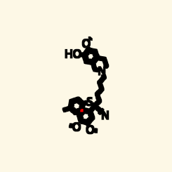 COc1cc2c(cc1O)CN(CCCCCC(C#N)(Sc1ccc(C)cc1)c1ccc(OC)c(OC)c1)CC2